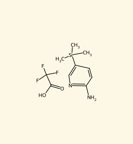 C[Si](C)(C)c1ccc(N)nc1.O=C(O)C(F)(F)F